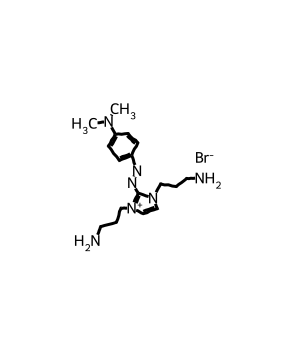 CN(C)c1ccc(N=Nc2n(CCCN)cc[n+]2CCCN)cc1.[Br-]